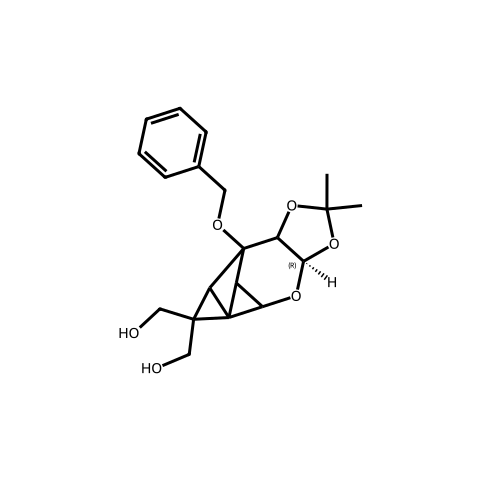 CC1(C)OC2[C@H](OC3C4C2(OCc2ccccc2)C2C(CO)(CO)C342)O1